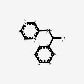 [CH2]CC(Nc1cnccn1)c1ccccc1